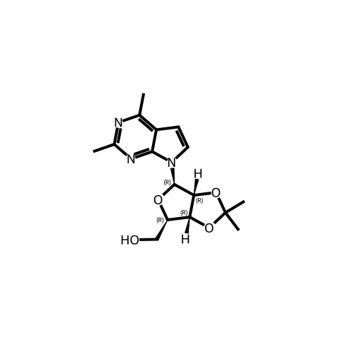 Cc1nc(C)c2ccn([C@@H]3O[C@H](CO)[C@H]4OC(C)(C)O[C@H]43)c2n1